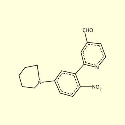 O=Cc1ccnc(-c2cc(N3CCCCC3)ccc2[N+](=O)[O-])c1